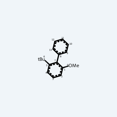 COc1cc[c]c(C(C)(C)C)c1-c1ccccc1